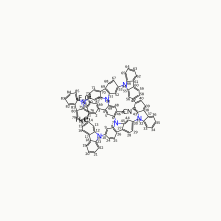 Cc1cc(-c2cc(-n3c4cc(-n5c6ccccc6c6ccccc65)ccc4c4ccc(-n5c6ccccc6c6ccccc65)cc43)c(C#N)cc2-n2c3cc(-n4c5ccccc5c5ccccc54)ccc3c3ccc(-n4c5ccccc5c5ccccc54)cc32)cc(C(F)(F)F)c1